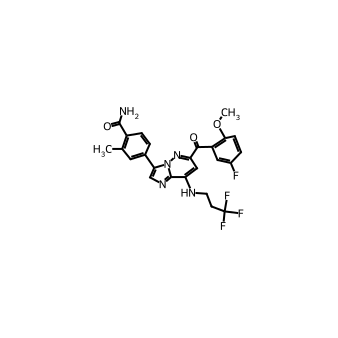 COc1ccc(F)cc1C(=O)c1cc(NCCC(F)(F)F)c2ncc(-c3ccc(C(N)=O)c(C)c3)n2n1